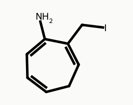 NC1=CC=CCC=C1CI